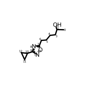 CC(O)CCCCc1nc(C2CC2)no1